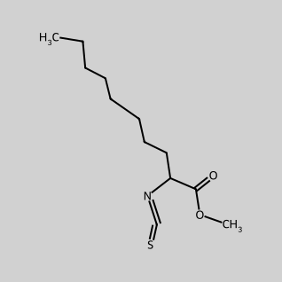 CCCCCCCCC(N=C=S)C(=O)OC